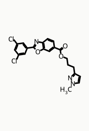 Cn1ccc(CCCOC(=O)c2ccc3nc(-c4cc(Cl)cc(Cl)c4)oc3c2)n1